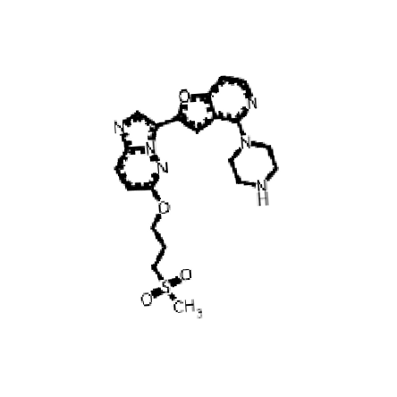 CS(=O)(=O)CCCOc1ccc2ncc(-c3cc4c(N5CCNCC5)nccc4o3)n2n1